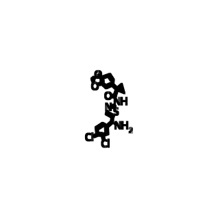 N[C@H](c1ccc(Cl)c(Cl)c1)c1cnc(NC(=O)C2(c3ccc4c(c3)OCO4)CC2)s1